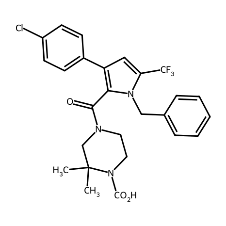 CC1(C)CN(C(=O)c2c(-c3ccc(Cl)cc3)cc(C(F)(F)F)n2Cc2ccccc2)CCN1C(=O)O